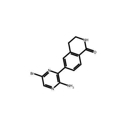 Nc1ncc(Br)nc1-c1ccc2c(c1)CCNC2=O